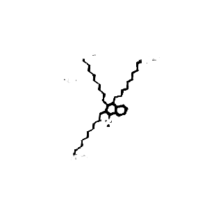 CCCCCCCCCCCCCCCCCCCc1c(CCCCCCCCCCCCCCCCCCC)c(S(=O)(=O)[O-])c2ccccc2c1CCCCCCCCCCCCCCCCCCC.[Na+]